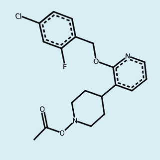 CC(=O)ON1CCC(c2cccnc2OCc2ccc(Cl)cc2F)CC1